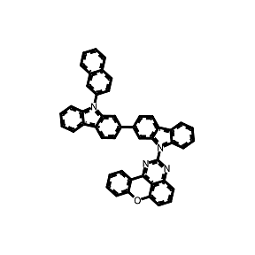 c1ccc2c(c1)Oc1cccc3nc(-n4c5ccccc5c5ccc(-c6ccc7c8ccccc8n(-c8ccc9ccccc9c8)c7c6)cc54)nc-2c13